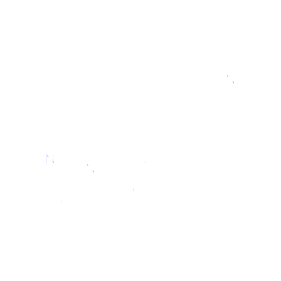 N#Cc1cccc(C(=O)Cc2ccnc(Cl)n2)c1